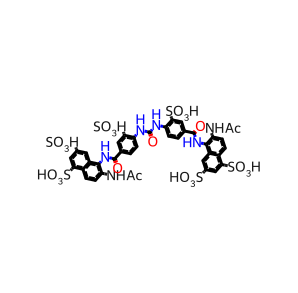 CC(=O)Nc1ccc2c(S(=O)(=O)O)cc(S(=O)(=O)O)cc2c1NC(=O)c1ccc(NC(=O)Nc2ccc(C(=O)Nc3c(NC(C)=O)ccc4c(S(=O)(=O)O)cc(S(=O)(=O)O)cc34)cc2S(=O)(=O)O)c(S(=O)(=O)O)c1